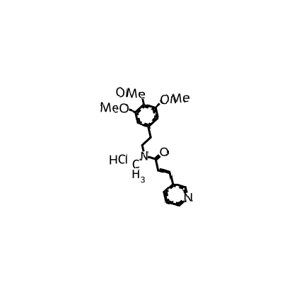 COc1cc(CCN(C)C(=O)C=Cc2cccnc2)cc(OC)c1OC.Cl